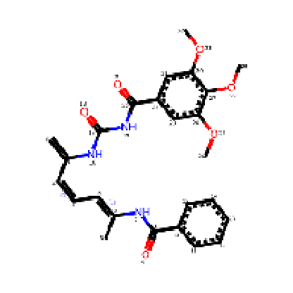 C=C(/C=C\C=C(/C)NC(=O)c1ccccc1)NC(=O)NC(=O)c1cc(OC)c(OC)c(OC)c1